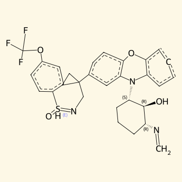 C=N[C@@H]1CCC[C@H](N2c3ccccc3Oc3ccc(C4(C/N=[SH](=O)\c5ccc(OC(F)(F)F)cc5)CC4)cc32)[C@H]1O